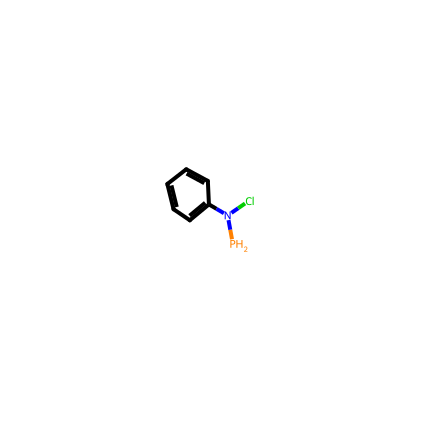 PN(Cl)c1ccccc1